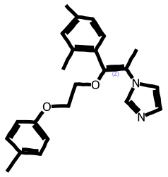 C/C(=C(/OCCOc1ccc(C)cc1)c1ccc(C)cc1C)n1ccnc1